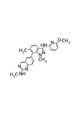 CNc1ncc2cc(-c3c(C)ccc4c(Nc5cccc(OC)n5)nn(C)c34)ccc2n1